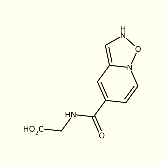 O=C(O)CNC(=O)C1=CC2=CNON2C=C1